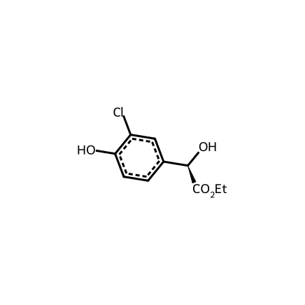 CCOC(=O)[C@H](O)c1ccc(O)c(Cl)c1